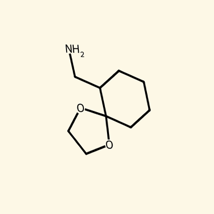 NCC1CCCCC12OCCO2